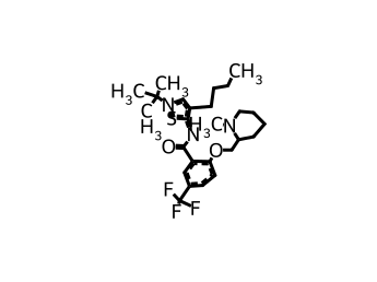 CCCCc1cn(C(C)(C)C)s/c1=N\C(=O)c1cc(C(F)(F)F)ccc1OCC1CCCCN1C